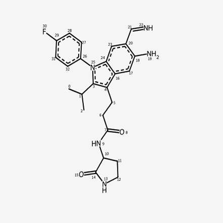 CC(C)c1c(CCC(=O)NC2CCNC2=O)c2cc(N)c(C=N)cc2n1-c1ccc(F)cc1